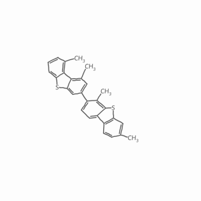 Cc1ccc2c(c1)sc1c(C)c(-c3cc(C)c4c(c3)sc3cccc(C)c34)ccc12